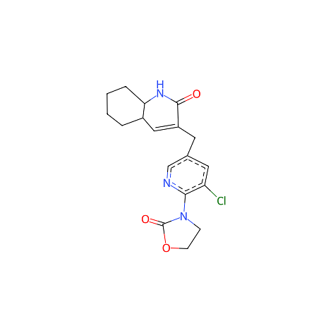 O=C1NC2CCCCC2C=C1Cc1cnc(N2CCOC2=O)c(Cl)c1